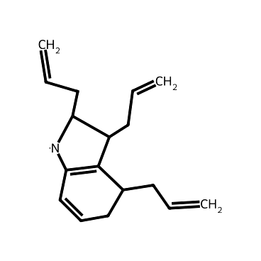 C=CCC1CC=CC2=C1C(CC=C)C(CC=C)[N]2